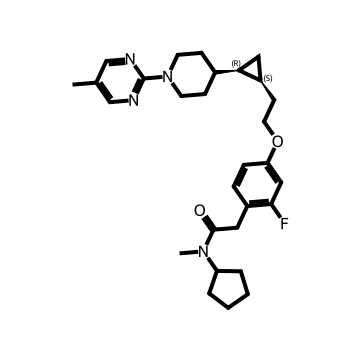 Cc1cnc(N2CCC([C@H]3C[C@H]3CCOc3ccc(CC(=O)N(C)C4CCCC4)c(F)c3)CC2)nc1